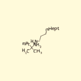 CCCC(C)(C)N.CCCCCCCCCCN